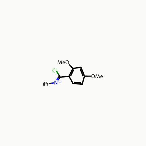 COc1ccc(/C(Cl)=N/C(C)C)c(OC)c1